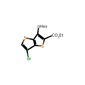 CCCCCCc1c(C(=O)OCC)sc2c(Br)csc12